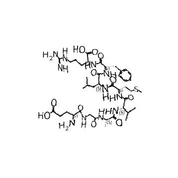 CSCC[C@H](NC(=O)[C@@H](NC(=O)[C@H](C)NC(=O)CNC(=O)[C@@H](N)CCC(=O)O)C(C)C)C(=O)N[C@@H](CC(C)C)C(=O)N[C@@H](Cc1ccccc1)C(=O)N[C@@H](CCCNC(=N)N)C(=O)O